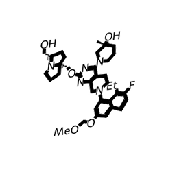 CCc1c(F)ccc2cc(OCOC)cc(N3CCc4c(nc(OC[C@]56CCCN5[C@H](CO)CC6)nc4N4CCC[C@@](C)(O)C4)C3)c12